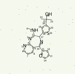 CNC1=Nc2ncccc2C(c2ccco2)=NC1c1cc(C(C)(C)O)cs1